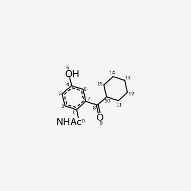 CC(=O)Nc1ccc(O)cc1C(=O)C1CCCCC1